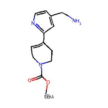 CC(C)(C)OC(=O)N1CC=C(c2cc(CN)ccn2)CC1